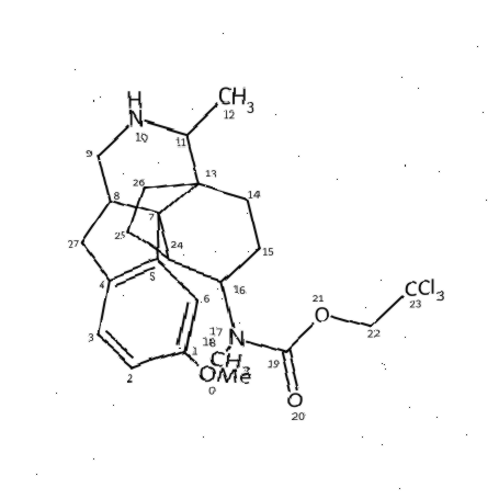 COc1ccc2c(c1)C13C(CNC(C)C14CCC(N(C)C(=O)OCC(Cl)(Cl)Cl)C3CC4)C2